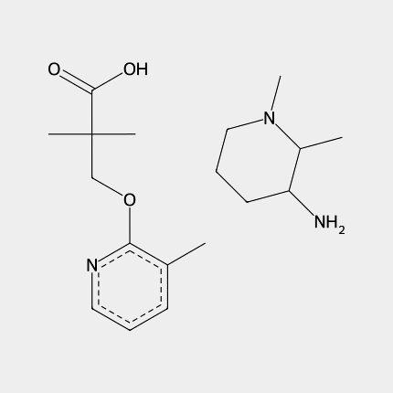 CC1C(N)CCCN1C.Cc1cccnc1OCC(C)(C)C(=O)O